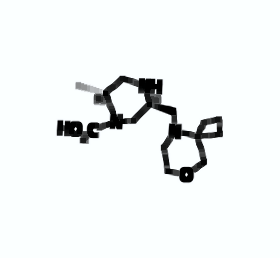 C[C@@H]1CN[C@@H](CN2CCOCC23CCC3)CN1C(=O)O